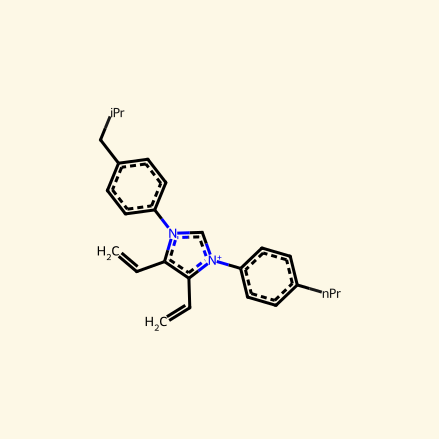 C=Cc1c(C=C)[n+](-c2ccc(CCC)cc2)cn1-c1ccc(CC(C)C)cc1